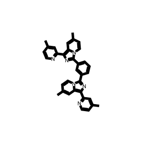 Cc1ccnc(-c2nc(-c3cccc(-c4nc(-c5cc(C)ccn5)c5cc(C)ccn45)c3)n3ccc(C)cc23)c1